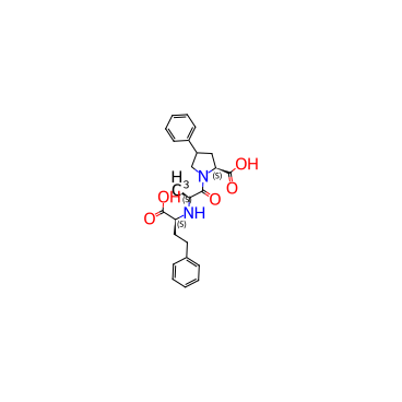 C[C@H](N[C@@H](CCc1ccccc1)C(=O)O)C(=O)N1CC(c2ccccc2)C[C@H]1C(=O)O